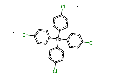 Clc1cc[c]([Pb]([c]2ccc(Cl)cc2)([c]2ccc(Cl)cc2)[c]2ccc(Cl)cc2)cc1